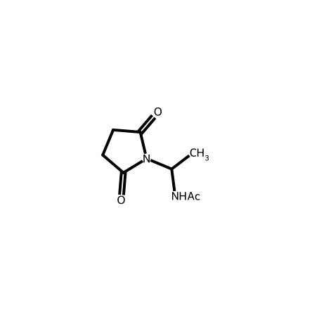 CC(=O)NC(C)N1C(=O)CCC1=O